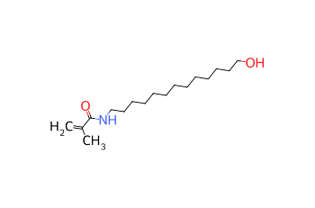 C=C(C)C(=O)NCCCCCCCCCCCCCO